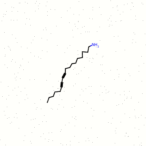 CCCCCC#CC#CCCCCCCCCCN